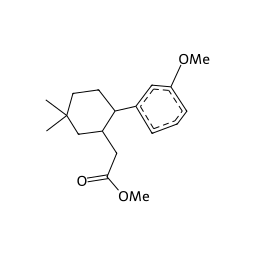 COC(=O)CC1CC(C)(C)CCC1c1cccc(OC)c1